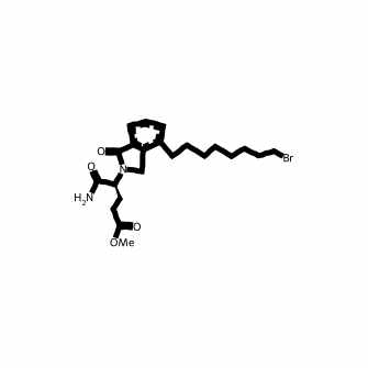 COC(=O)CC[C@@H](C(N)=O)N1Cc2c(CCCCCCCCBr)cccc2C1=O